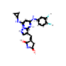 O=C1CC(=Cc2cnn3c(NC4CC4)cc(Nc4ccc(F)c(F)c4)nc23)C(=O)N1